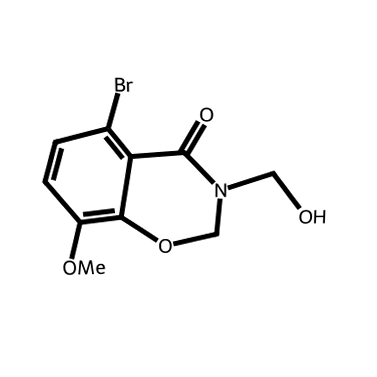 COc1ccc(Br)c2c1OCN(CO)C2=O